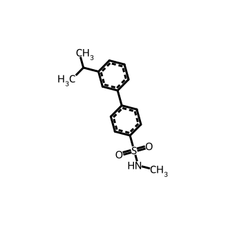 CNS(=O)(=O)c1ccc(-c2cccc(C(C)C)c2)cc1